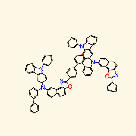 C1=CC2CC=c3nc(-c4ccccc4)oc3=C2C=C1N(c1ccc2c(c1)c1ccccc1n2-c1ccccc1)c1ccccc1-c1ccccc1-c1ccc(-c2nc3c(ccc4ccc(N(c5cccc(-c6ccccc6)c5)C5C=Cc6c(c7ccccc7n6-c6ccccc6)C5)cc43)o2)cc1